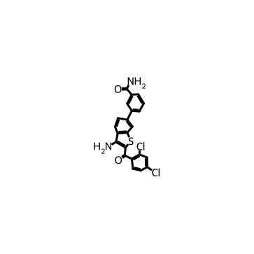 NC(=O)c1cccc(-c2ccc3c(N)c(C(=O)c4ccc(Cl)cc4Cl)sc3c2)c1